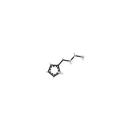 CC(=O)SSCc1ccco1